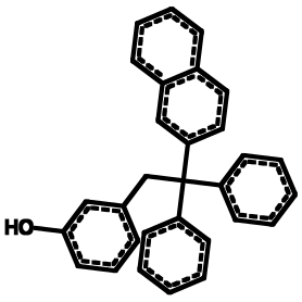 Oc1cccc(CC(c2ccccc2)(c2ccccc2)c2ccc3ccccc3c2)c1